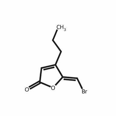 CCCC1=CC(=O)O/C1=C\Br